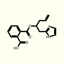 C=CCC(Cc1ncc[nH]1)OC(=O)c1ccccc1C(=O)O